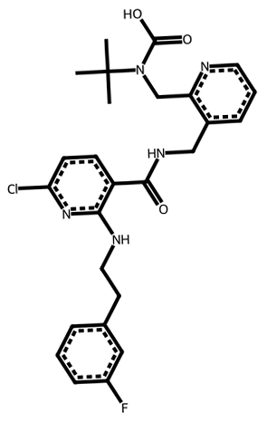 CC(C)(C)N(Cc1ncccc1CNC(=O)c1ccc(Cl)nc1NCCc1cccc(F)c1)C(=O)O